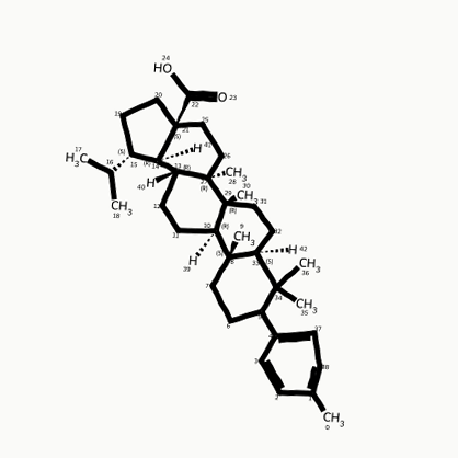 Cc1ccc(C2CC[C@]3(C)[C@H]4CC[C@@H]5[C@H]6[C@H](C(C)C)CC[C@]6(C(=O)O)CC[C@@]5(C)[C@]4(C)CC[C@H]3C2(C)C)cc1